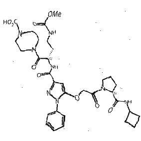 COC(=O)NCC[C@H](NC(=O)c1cc(OCC(=O)N2CCC[C@H]2C(=O)NC2CCC2)n(-c2ccccc2)n1)C(=O)N1CCN(C(=O)O)CC1